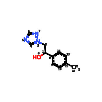 OC(Cn1cncn1)c1ccc(C(F)(F)F)cc1